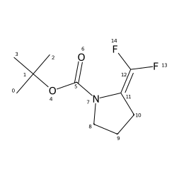 CC(C)(C)OC(=O)N1CCCC1=C(F)F